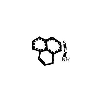 C1=Cc2cccc3cccc(c23)C1.N=C=S